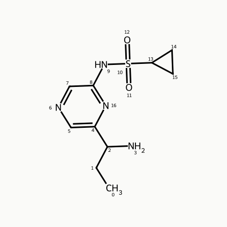 CCC(N)c1cncc(NS(=O)(=O)C2CC2)n1